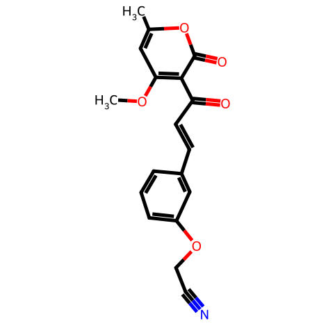 COc1cc(C)oc(=O)c1C(=O)C=Cc1cccc(OCC#N)c1